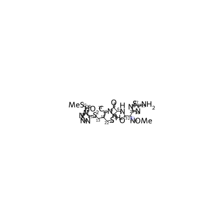 CO/N=C(/C(=O)NC1C(=O)N2C(C(=O)O)=C(CSc3nnnn3CSC)CS[C@H]12)c1nsc(N)n1